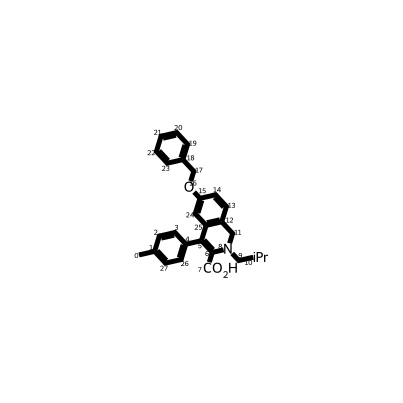 Cc1ccc(C2=C(C(=O)O)N(CC(C)C)Cc3ccc(OCc4ccccc4)cc32)cc1